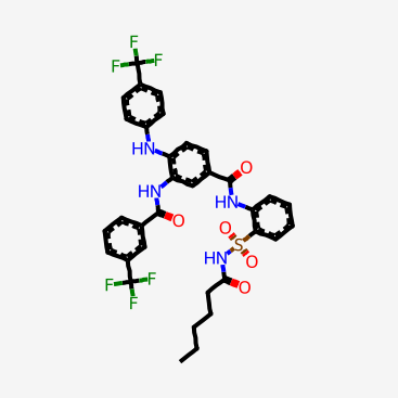 CCCCCC(=O)NS(=O)(=O)c1ccccc1NC(=O)c1ccc(Nc2ccc(C(F)(F)F)cc2)c(NC(=O)c2cccc(C(F)(F)F)c2)c1